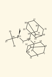 C[P@@](CP(C12CC3CC(CC(C3)C1)C2)C12CC3CC(CC(C3)C1)C2)C(C)(C)C